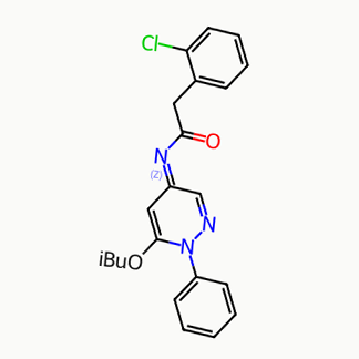 CC(C)COc1c/c(=N/C(=O)Cc2ccccc2Cl)cnn1-c1ccccc1